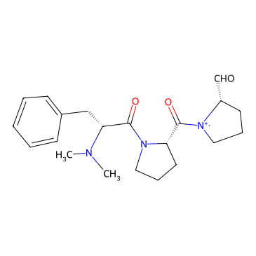 CN(C)[C@H](Cc1ccccc1)C(=O)N1CCC[C@H]1C(=O)[N+]1CCC[C@H]1C=O